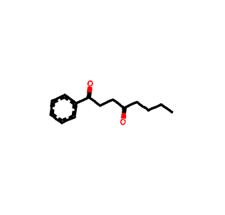 CCCCC(=O)CCC(=O)c1ccccc1